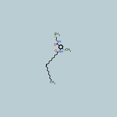 CCCCCCCC/C=C\CCCCCCCC(=O)Nc1cc(C(=O)NCCSC)ccc1SC